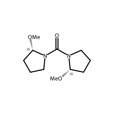 CO[C@H]1CCCN1C(=O)N1CCC[C@@H]1OC